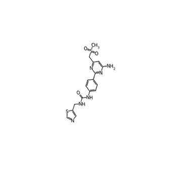 CS(=O)(=O)Cc1cc(N)nc(-c2ccc(NC(=O)NCc3cncs3)cc2)n1